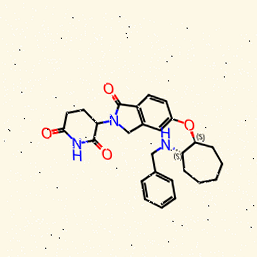 O=C1CCC(N2Cc3cc(O[C@H]4CCCCC[C@@H]4NCc4ccccc4)ccc3C2=O)C(=O)N1